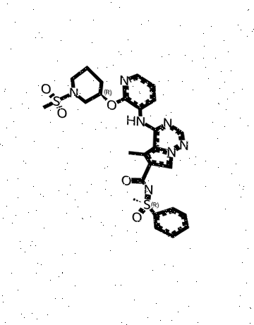 Cc1c(C(=O)N=[S@](C)(=O)c2ccccc2)cn2ncnc(Nc3cccnc3O[C@@H]3CCCN(S(C)(=O)=O)C3)c12